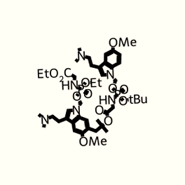 CCOC(=O)CNP(=O)(OCC)OCn1cc(CCN(C)C)c2cc(OC)c(CC(C)(C)OC(=O)CNP(=O)(OCn3cc(CCN(C)C)c4cc(OC)ccc43)OC(C)(C)C)cc21